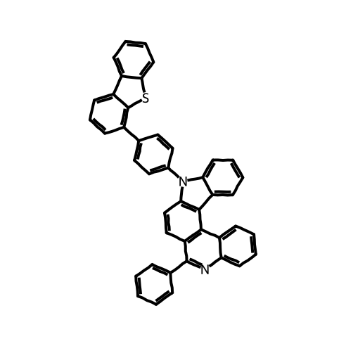 c1ccc(-c2nc3ccccc3c3c2ccc2c3c3ccccc3n2-c2ccc(-c3cccc4c3sc3ccccc34)cc2)cc1